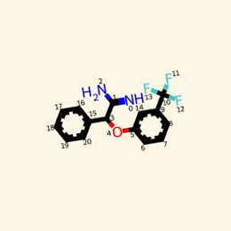 N=C(N)C(Oc1cccc(C(F)(F)F)c1)c1ccccc1